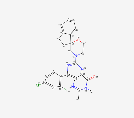 Cc1nc2c(-c3ccc(Cl)cc3F)nc(N3CCOC4(CCc5ccccc54)C3)nc2c(=O)n1C